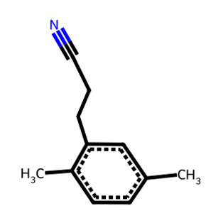 Cc1ccc(C)c(CCC#N)c1